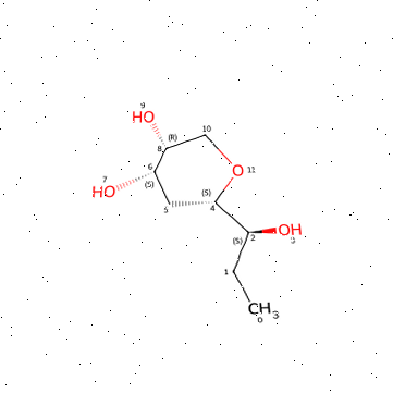 CC[C@H](O)[C@@H]1C[C@H](O)[C@H](O)CO1